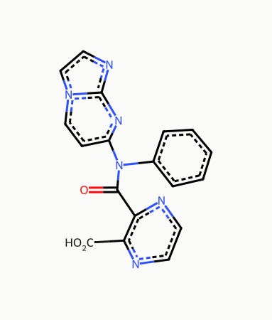 O=C(O)c1nccnc1C(=O)N(c1ccccc1)c1ccn2ccnc2n1